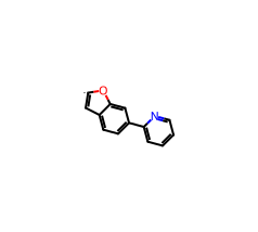 [c]1cc2ccc(-c3ccccn3)cc2o1